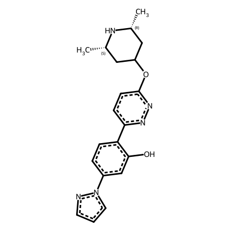 C[C@@H]1CC(Oc2ccc(-c3ccc(-n4cccn4)cc3O)nn2)C[C@H](C)N1